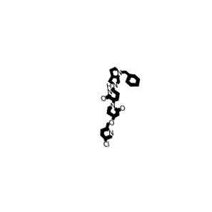 O=c1[nH]c(N2CC3CCN(Cc4ccccc4)C3C2)ccc1-n1ccc(OCc2ccc(Cl)cn2)cc1=O